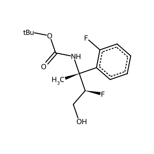 CC(C)(C)OC(=O)N[C@](C)(c1ccccc1F)[C@@H](F)CO